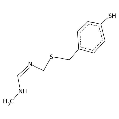 CN/C=N\CSCc1ccc(S)cc1